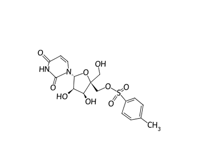 Cc1ccc(S(=O)(=O)OC[C@]2(CO)O[C@@H](n3ccc(=O)[nH]c3=O)[C@H](O)[C@@H]2O)cc1